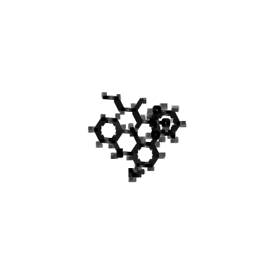 CC=CC(C)=C(N1c2ccccc2Sc2cccc(-c3ncccn3)c21)S(=O)(=O)[O-].[Na+]